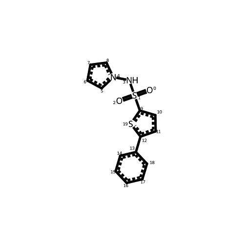 O=S(=O)(Nn1cccc1)c1ccc(-c2ccccc2)s1